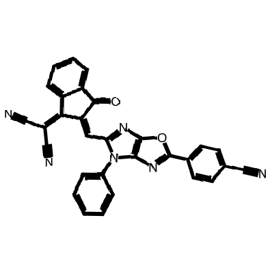 N#CC(C#N)=C1/C(=C/c2nc3oc(-c4ccc(C#N)cc4)nc3n2-c2ccccc2)C(=O)c2ccccc21